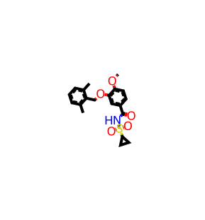 COc1ccc(C(=O)NS(=O)(=O)C2CC2)cc1OCc1c(C)cccc1C